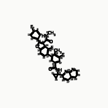 CNC(=O)c1c(-c2ccc(F)cc2)oc2ccc(-c3cc(C(=O)NC4(c5ccc6cccnc6n5)CC4)cc(F)c3C)c(F)c12